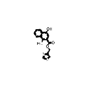 O=C(OCc1cscn1)c1cc(O)c2ccccc2c1O